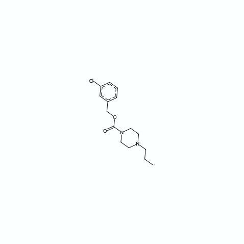 [CH2]CCN1CCN(C(=O)OCc2cccc(Cl)c2)CC1